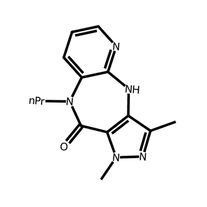 CCCN1C(=O)c2c(c(C)nn2C)Nc2ncccc21